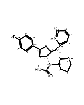 O=C(O)N(C1CCCNC1)[C@@H]1CC(c2ccc(F)cc2)CC1Oc1cccnn1